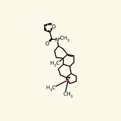 CC1C2CCC3C4CC=C5CC(N(C)C(=O)c6ccco6)CCC5(C)C4CCC32CN1C